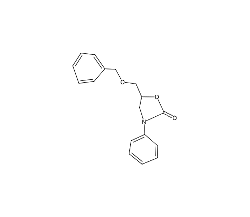 O=C1OC(COCc2ccccc2)CN1c1ccccc1